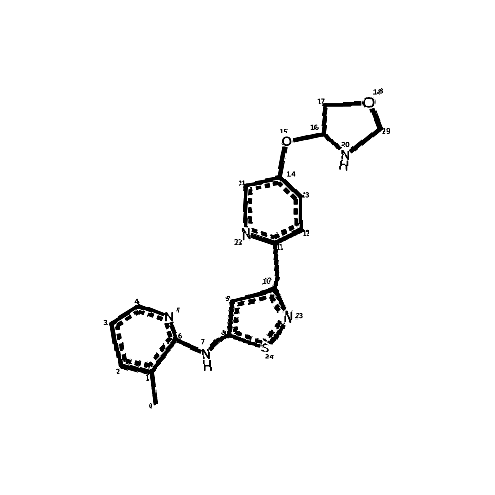 Cc1cccnc1Nc1cc(-c2ccc(OC3COCN3)cn2)ns1